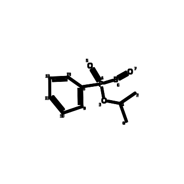 CC(C)OP(=O)(B=O)c1ccccc1